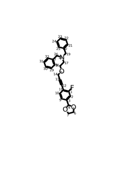 Fc1cc(C2OCCO2)ccc1C#CCOCCN(Cc1ccccc1)Cc1ccccc1